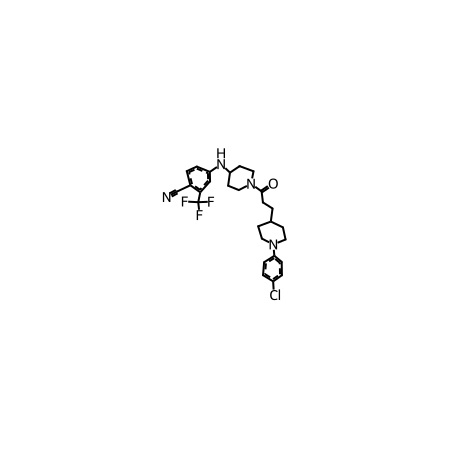 N#Cc1ccc(NC2CCN(C(=O)CCC3CCN(c4ccc(Cl)cc4)CC3)CC2)cc1C(F)(F)F